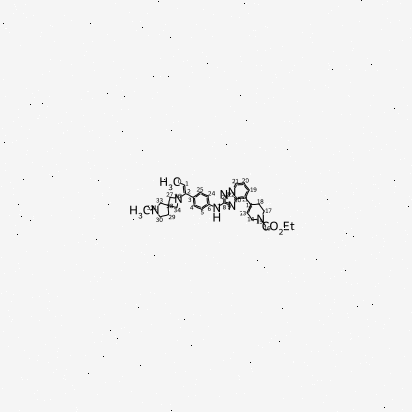 CC=C(c1ccc(Nc2nc3c(C4=CCN(C(=O)OCC)CC4)cccn3n2)cc1)N1CC2(CCN(C)C2)C1